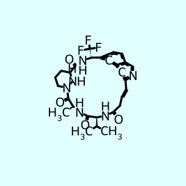 CC(C)[C@@H]1NC(=O)C/C=C/c2cc3cc(ccc3cn2)[C@@H](C(F)(F)F)NC(=O)[C@@H]2CCCN(N2)C(=O)[C@H](C)NC1=O